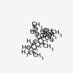 CCOC(=O)OCc1c(C)c(Cc2ccc(O)c(C(C)C)c2)c(C)c(COC(=O)OCC)c1OOP(C)(=O)O